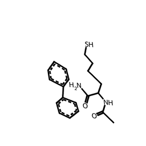 CC(=O)NC(CCCCS)C(N)=O.c1ccc(-c2ccccc2)cc1